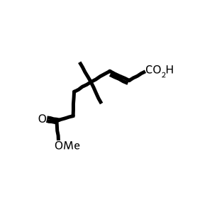 COC(=O)CCC(C)(C)/C=C/C(=O)O